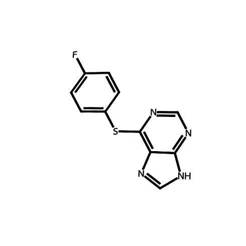 Fc1ccc(Sc2ncnc3[nH]cnc23)cc1